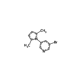 Cc1ccc(C)n1-c1cncc(Br)c1